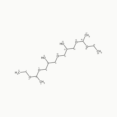 CCOC(C)OCC(O)COCC(O)COC(C)OCC